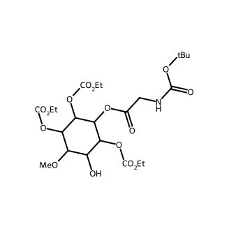 CCOC(=O)OC1C(O)C(OC)C(OC(=O)OCC)C(OC(=O)OCC)C1OC(=O)CNC(=O)OC(C)(C)C